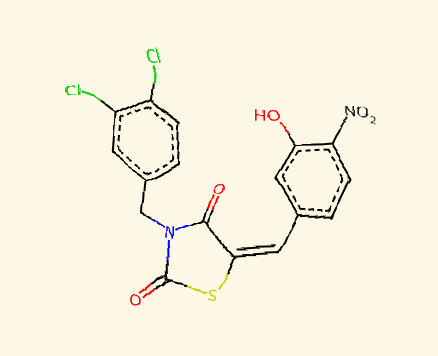 O=C1SC(=Cc2ccc([N+](=O)[O-])c(O)c2)C(=O)N1Cc1ccc(Cl)c(Cl)c1